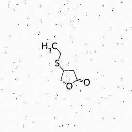 CCSC1COC(=O)C1